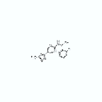 CC(Nc1ncc(-c2noc(C(F)(F)F)n2)cn1)c1ncccc1Cl